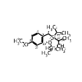 COc1ccc(C[Si](O[SiH](C)C)(C(C)C)C(C)C)cc1